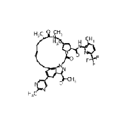 CC(=O)c1nn2c3c(cc(-c4cnc(C)nc4)cc13)CCC/C=C/CC[C@H](C)C(=O)N(C)C[C@]1(C)C[C@@H](C(=O)Nc3nc(C(F)(F)F)ccc3C)N(C1)C(=O)C2